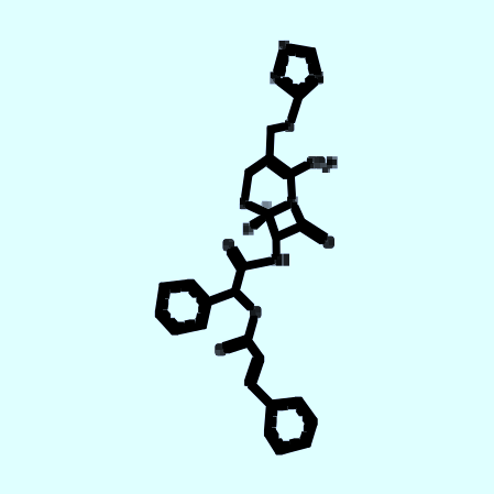 O=C(C=Cc1ccccc1)OC(C(=O)NC1C(=O)N2C(C(=O)O)=C(CSc3nncs3)CS[C@@H]12)c1ccccc1